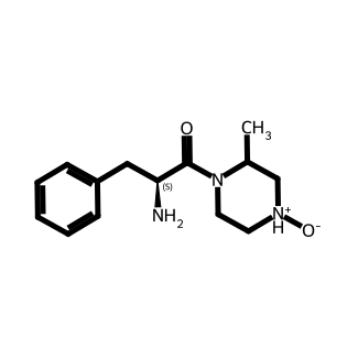 CC1C[NH+]([O-])CCN1C(=O)[C@@H](N)Cc1ccccc1